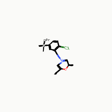 CCC[Si](C)(C)c1ccc(Cl)c(N2CC(C)OC(C)C2)c1